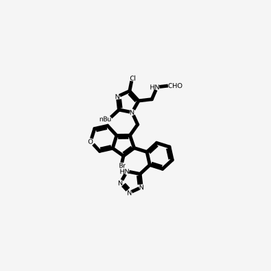 CCCCc1nc(Cl)c(CNC=O)n1Cc1c2ccocc-2c(Br)c1-c1ccccc1-c1nnn[nH]1